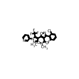 CON(C)C(=O)c1c(-c2c(F)cccc2Cl)noc1-c1cnn(-c2cccnc2)c1C(F)(F)F